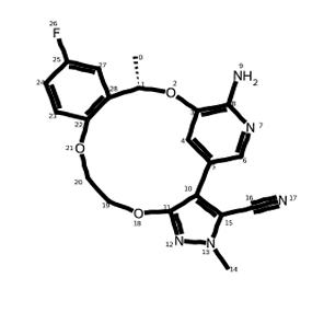 C[C@@H]1Oc2cc(cnc2N)-c2c(nn(C)c2C#N)OCCOc2ccc(F)cc21